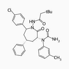 Cc1cccc(N(C(N)=O)[C@@H]2C[C@H](c3ccccc3)CC(c3ccc(Cl)cc3)N(NC(=O)CC(C)(C)C)C2=O)c1